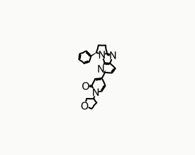 O=c1cc(-c2ccc3nc4n(c3n2)[C@@H](c2ccccc2)CC4)ccn1C1CCOC1